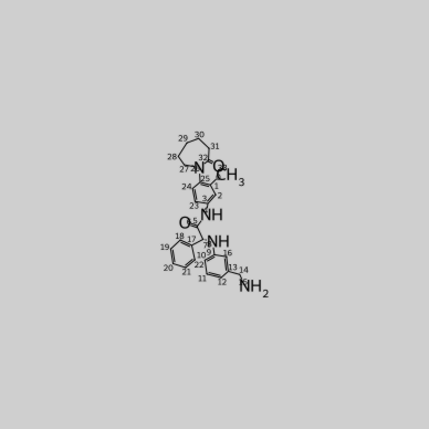 Cc1cc(NC(=O)[C@H](Nc2cccc(CN)c2)c2ccccc2)ccc1N1CCCCCC1=O